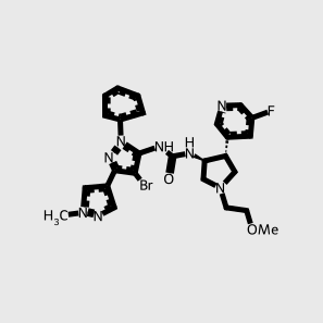 COCCN1C[C@@H](NC(=O)Nc2c(Br)c(-c3cnn(C)c3)nn2-c2ccccc2)[C@H](c2cncc(F)c2)C1